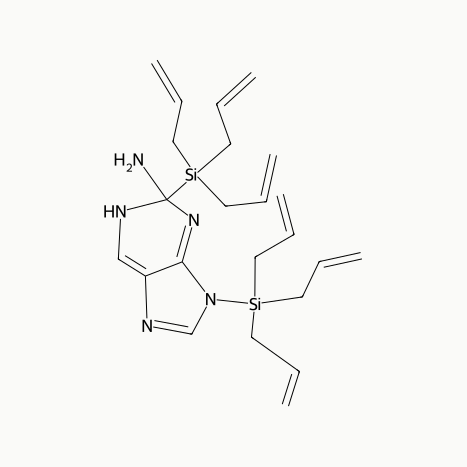 C=CC[Si](CC=C)(CC=C)n1cnc2c1=NC(N)([Si](CC=C)(CC=C)CC=C)NC=2